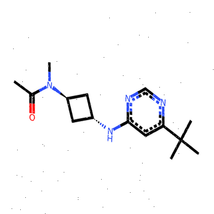 CC(=O)N(C)[C@H]1C[C@H](Nc2cc(C(C)(C)C)ncn2)C1